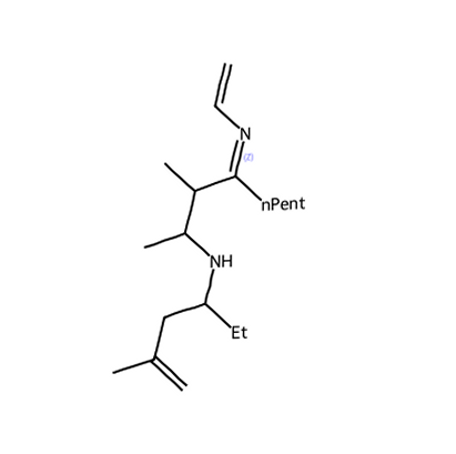 C=C/N=C(/CCCCC)C(C)C(C)NC(CC)CC(=C)C